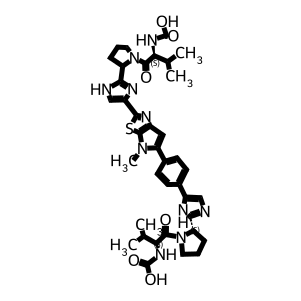 CC(C)[C@H](NC(=O)O)C(=O)N1CCCC1c1nc(-c2nc3cc(-c4ccc(-c5cnc([C@@H]6CCCN6C(=O)[C@@H](NC(=O)O)C(C)C)[nH]5)cc4)n(C)c3s2)c[nH]1